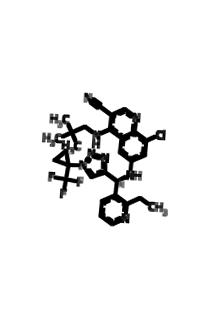 CCc1ncccc1[C@H](Nc1cc(Cl)c2ncc(C#N)c(NCC(C)(C)C)c2c1)c1cn(C2(C(F)(F)F)CC2)nn1